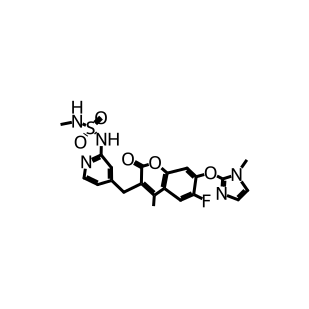 CNS(=O)(=O)Nc1cc(Cc2c(C)c3cc(F)c(Oc4nccn4C)cc3oc2=O)ccn1